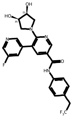 O=C(Nc1ccc(CC(F)(F)F)cc1)c1cnc(N2C[C@@H](O)[C@@H](O)C2)c(-c2cncc(F)c2)c1